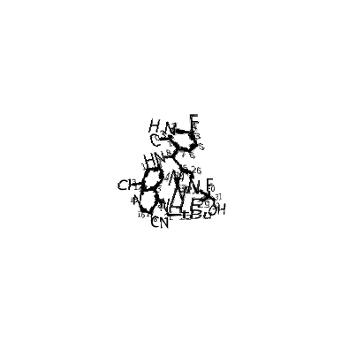 Cc1nc(F)ccc1C(Nc1cc(Cl)c2ncc(C#N)c(NCC(C)(C)C)c2c1)c1cn(C(F)(F)CO)nn1